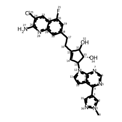 Cn1cc(-c2ncnc3c2ccn3C2C=C(CCc3cc(F)c4cc(Cl)c(N)nc4c3)C(O)[C@@H]2O)cn1